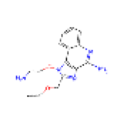 CCOCc1nc2c(N)nc3ccccc3c2n1OCCN